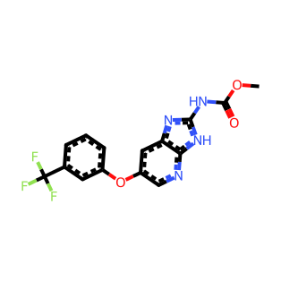 COC(=O)Nc1nc2cc(Oc3cccc(C(F)(F)F)c3)cnc2[nH]1